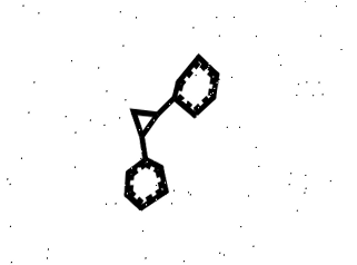 c1ccc(C2CC2c2ccccc2)cc1